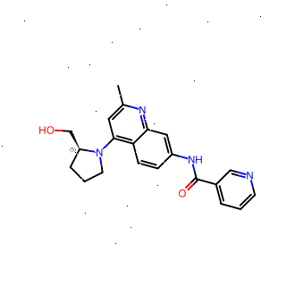 Cc1cc(N2CCC[C@H]2CO)c2ccc(NC(=O)c3cccnc3)cc2n1